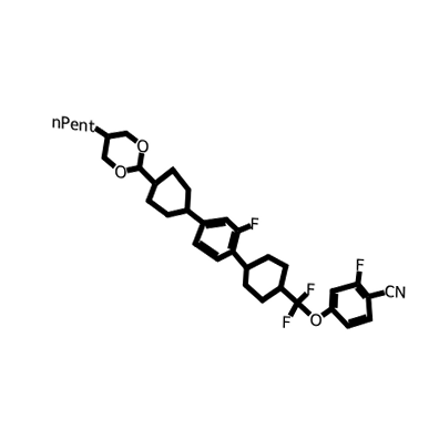 CCCCCC1COC(C2CCC(c3ccc(C4CCC(C(F)(F)Oc5ccc(C#N)c(F)c5)CC4)c(F)c3)CC2)OC1